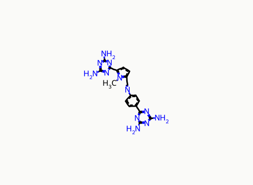 Cn1c(/C=N/c2ccc(-c3nc(N)nc(N)n3)cc2)ccc1-c1nc(N)nc(N)n1